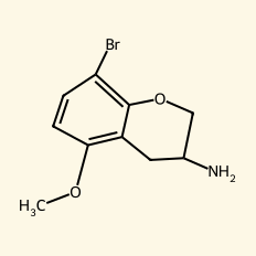 COc1ccc(Br)c2c1CC(N)CO2